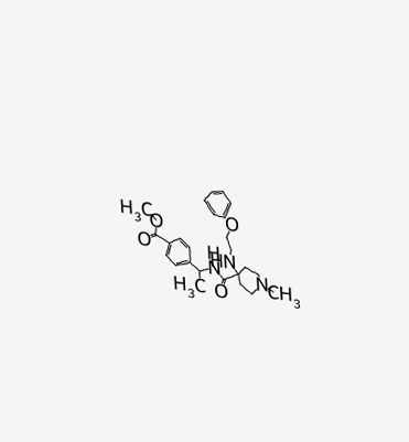 COC(=O)c1ccc(C(C)NC(=O)C2(NCCOc3ccccc3)CCN(C)CC2)cc1